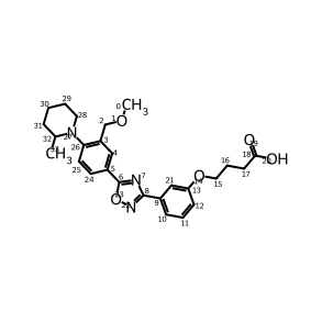 COCc1cc(-c2nc(-c3cccc(OCCCC(=O)O)c3)no2)ccc1N1CCCCC1C